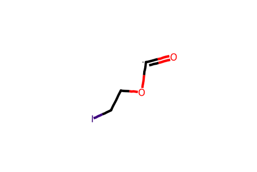 O=[C]OCCI